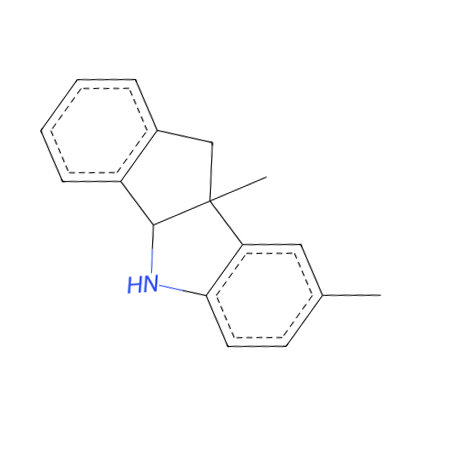 Cc1ccc2c(c1)C1(C)Cc3ccccc3C1N2